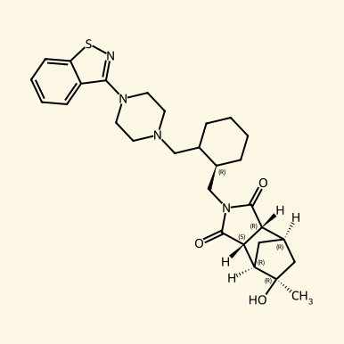 C[C@@]1(O)C[C@H]2C[C@@H]1[C@@H]1C(=O)N(C[C@@H]3CCCCC3CN3CCN(c4nsc5ccccc45)CC3)C(=O)[C@H]21